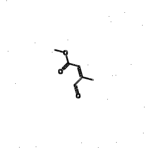 COC(=O)C=C(C)C=O